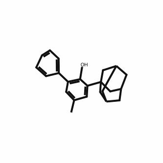 Cc1cc(-c2ccccc2)c(O)c(C23CC4CC(CC(C4)C2)C3)c1